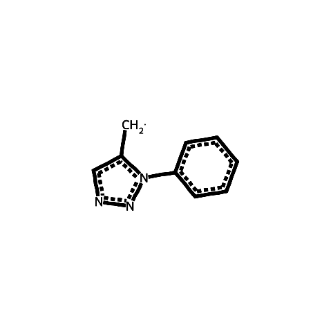 [CH2]c1cnnn1-c1ccccc1